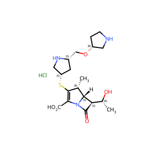 C[C@@H](O)[C@H]1C(=O)N2C(C(=O)O)=C(S[C@@H]3CN[C@H](CO[C@@H]4CCNC4)C3)[C@H](C)[C@H]12.Cl